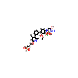 CCOc1c(-c2cccc(-c3c(C)cc(OCCCS(C)(=O)=O)nc3C)c2)ccc(N2CC(=O)NS2(=O)=O)c1Cl